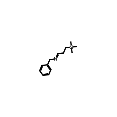 C[Si](C)(C)CCC=NCc1ccccc1